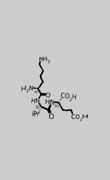 CC(C)[C@H](NC(=O)[C@@H](N)CCCCN)C(=O)N[C@@H](CCC(=O)O)C(=O)O